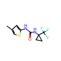 Cc1csc(NC(=O)NC2(C(F)(F)F)CC2)c1